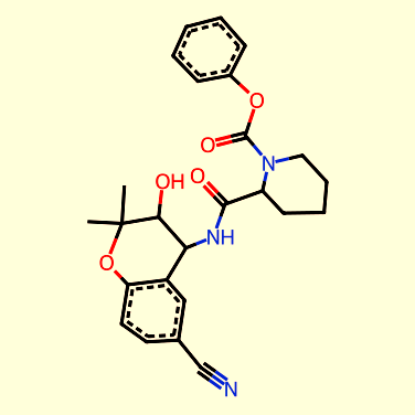 CC1(C)Oc2ccc(C#N)cc2C(NC(=O)C2CCCCN2C(=O)Oc2ccccc2)C1O